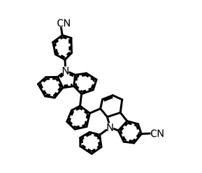 N#Cc1ccc(-n2c3ccccc3c3c(-c4ccccc4C4C=CCC5c6cc(C#N)ccc6N(c6ccccc6)C45)cccc32)cc1